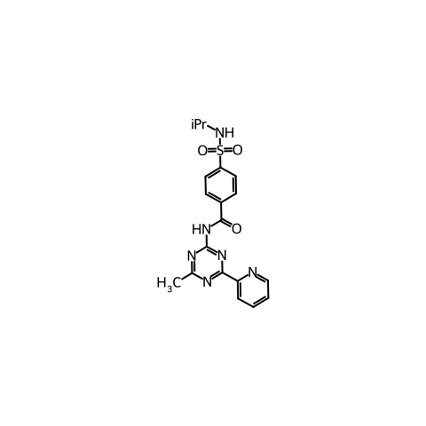 Cc1nc(NC(=O)c2ccc(S(=O)(=O)NC(C)C)cc2)nc(-c2ccccn2)n1